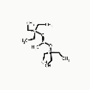 CC[Si](CC)(CC)O[SiH](C)O[Si](CC)(CC)CC